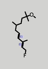 COC(C)(C)CCC(C)C/C=C/C(C)=C/CF